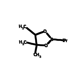 CC(C)B1OC(C)C(C)(C)O1